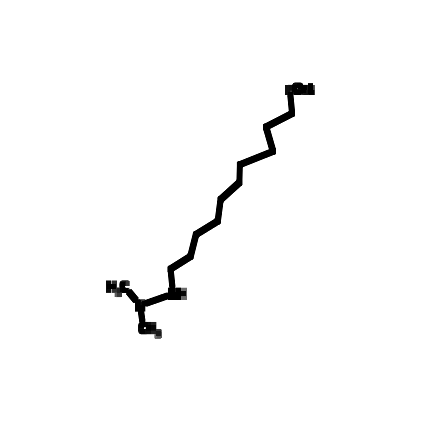 CCCCCCCCCCCCCCCCCCNN(C)C